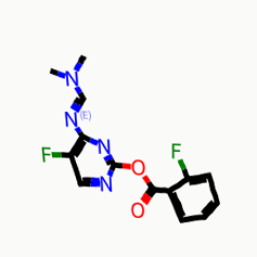 CN(C)/C=N/c1nc(OC(=O)c2ccccc2F)ncc1F